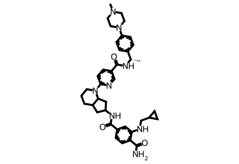 C[C@H](NC(=O)c1ccc(N2CCCC3CC(NC(=O)c4ccc(C(N)=O)c(NCC5CC5)c4)CC32)nc1)c1ccc(N2CCN(C)CC2)cc1